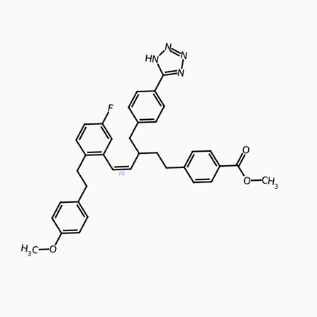 COC(=O)c1ccc(CCC(/C=C\c2cc(F)ccc2CCc2ccc(OC)cc2)Cc2ccc(-c3nnn[nH]3)cc2)cc1